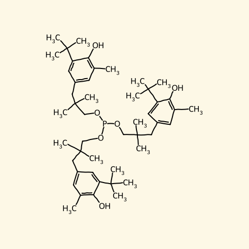 Cc1cc(CC(C)(C)COP(OCC(C)(C)Cc2cc(C)c(O)c(C(C)(C)C)c2)OCC(C)(C)Cc2cc(C)c(O)c(C(C)(C)C)c2)cc(C(C)(C)C)c1O